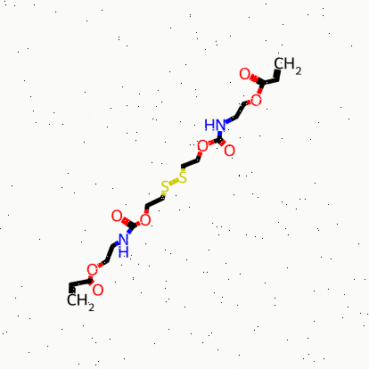 C=CC(=O)OCCNC(=O)OCCSSCCOC(=O)NCCOC(=O)C=C